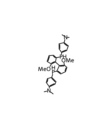 COc1cccc(Pc2ccc(N(C)C)cc2)c1-c1c(OC)cccc1Pc1ccc(N(C)C)cc1